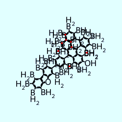 Bc1c(B)c(B)c(-c2c(B)c(B)c(B)c(B)c2-c2c3c(B)c(B)c(B)c(B)c3c(-c3c(B)c(B)c(-c4c(B)c(B)c5c(oc6c(B)c(B)c(B)c(B)c65)c4B)c(B)c3B)c3c(B)c(B)c(O)c(B)c23)c(B)c1B